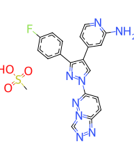 CS(=O)(=O)O.Nc1cc(-c2cn(-c3ccc4nncn4n3)nc2-c2ccc(F)cc2)ccn1